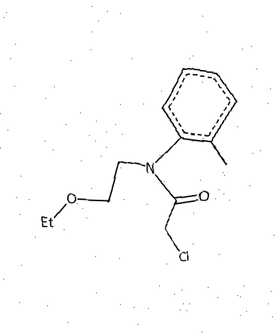 CCOCCN(C(=O)CCl)c1ccccc1C